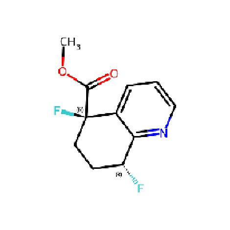 COC(=O)[C@@]1(F)CC[C@@H](F)c2ncccc21